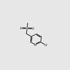 CS(=O)(=O)Cc1ccc(Cl)nc1